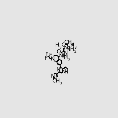 Cn1cc(-c2cn3nccc3c(-c3ccc4c(c3)CN(CC(F)(F)F)CCC4NC(=O)/C(N)=C/N(N)C(C)(C)C)n2)cn1